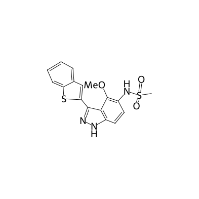 COc1c(NS(C)(=O)=O)ccc2[nH]nc(-c3cc4ccccc4s3)c12